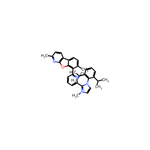 Cc1ccc2c(n1)oc1c(-c3cccc(-c4n(-c5c(C(C)C)cccc5C(C)C)cc[n+]4C)[n+]3C)c(C)ccc12